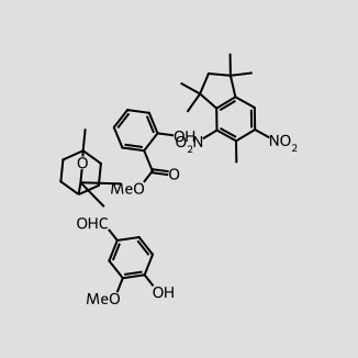 CC12CCC(CC1)C(C)(C)O2.COC(=O)c1ccccc1O.COc1cc(C=O)ccc1O.Cc1c([N+](=O)[O-])cc2c(c1[N+](=O)[O-])C(C)(C)CC2(C)C